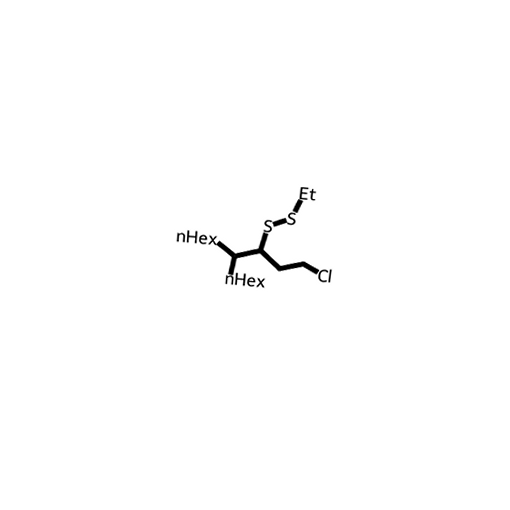 CCCCCCC(CCCCCC)C(CCCl)SSCC